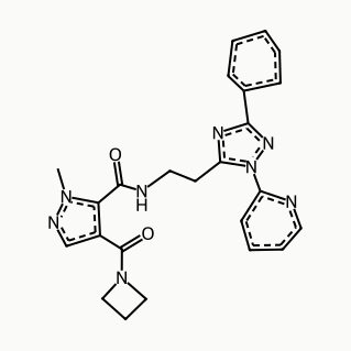 Cn1ncc(C(=O)N2CCC2)c1C(=O)NCCc1nc(-c2ccccc2)nn1-c1ccccn1